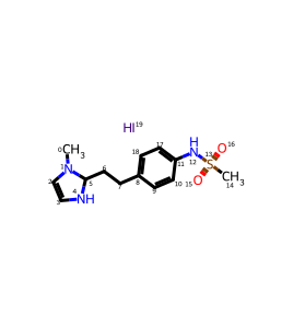 CN1C=CNC1CCc1ccc(NS(C)(=O)=O)cc1.I